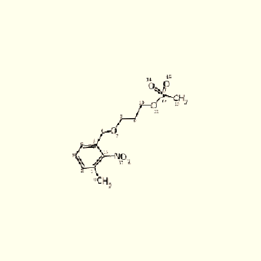 Cc1cccc(COCCCOS(C)(=O)=O)c1[N+](=O)[O-]